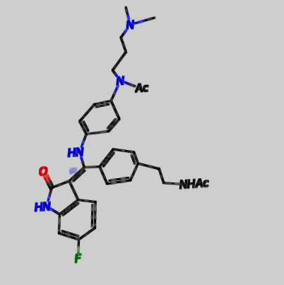 CC(=O)NCCc1ccc(/C(Nc2ccc(N(CCCN(C)C)C(C)=O)cc2)=C2/C(=O)Nc3cc(F)ccc32)cc1